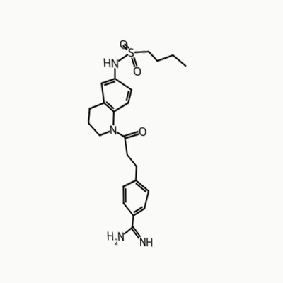 CCCCS(=O)(=O)Nc1ccc2c(c1)CCCN2C(=O)CCc1ccc(C(=N)N)cc1